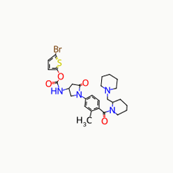 Cc1cc(N2CC(NC(=O)Oc3ccc(Br)s3)CC2=O)ccc1C(=O)N1CCCCC1CN1CCCCC1